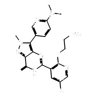 COCCOc1ncc(C(C)=O)cc1-c1nc2c(-c3ccc(N(C)C)nc3)n(C)nc2c(=O)[nH]1